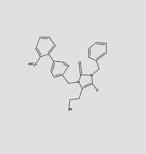 CC(C)CCc1c(F)n(Cc2ccccc2)c(=O)n1Cc1ccc(-c2ccccc2C(=O)O)cc1